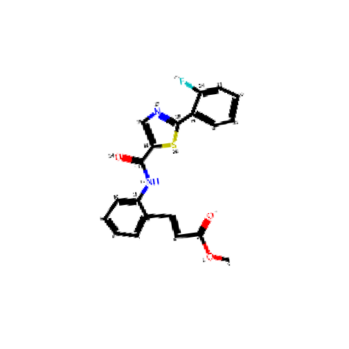 COC(=O)/C=C/c1ccccc1NC(=O)c1cnc(-c2ccccc2F)s1